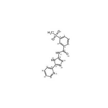 CS(=O)(=O)c1cccc(C(=O)Nc2nnc(-c3ccccn3)[nH]2)c1